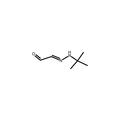 CC(C)(C)N/N=C/C=O